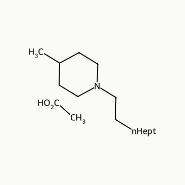 CC(=O)O.CCCCCCCCCN1CCC(C)CC1